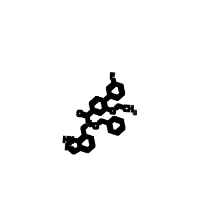 CCOc1cc(C(=O)N(Cc2cccc3cn[nH]c23)OCc2ccccc2)ccc1-c1cccc(F)c1